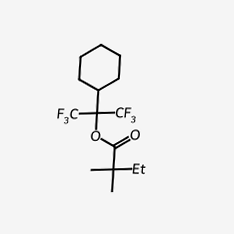 CCC(C)(C)C(=O)OC(C1CCCCC1)(C(F)(F)F)C(F)(F)F